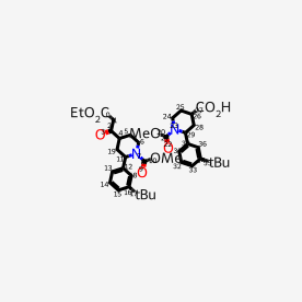 CCOC(=O)CC(=O)C1CCN(C(=O)OC)C(c2cccc(C(C)(C)C)c2)C1.COC(=O)N1CCC(C(=O)O)CC1c1cccc(C(C)(C)C)c1